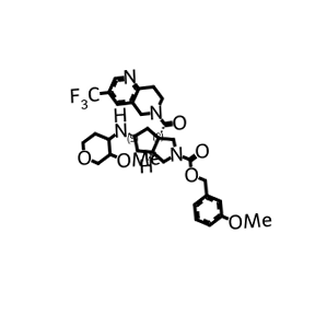 COc1cccc(COC(=O)N2C[C@H]3C[C@H](NC4CCOCC4OC)C[C@@]3(C(=O)N3CCc4ncc(C(F)(F)F)cc4C3)C2)c1